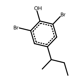 CCC(C)c1cc(Br)c(O)c(Br)c1